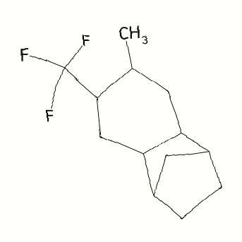 CC1CC2C3CCC(C3)C2CC1C(F)(F)F